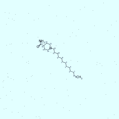 CCCCCCCCCCCCCN1CCC(C(N)=O)CC1